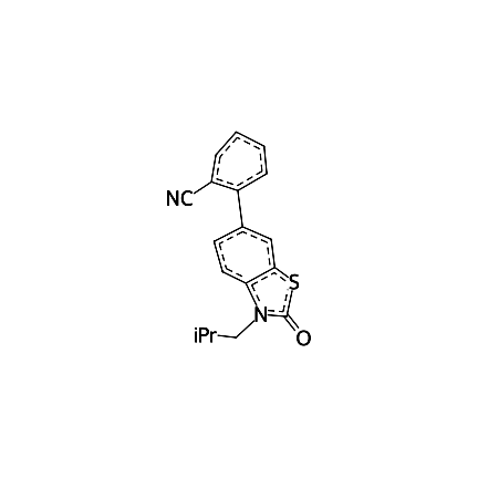 CC(C)Cn1c(=O)sc2cc(-c3ccccc3C#N)ccc21